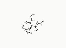 CCOC(=O)C(C(=O)OCC)=C1COC1=O